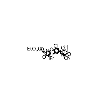 CCOC(=O)OCn1nc(Oc2c(Cl)cc(-n3nc(C#N)c(=O)[nH]c3=O)cc2Cl)cc(C(C)C)c1=O